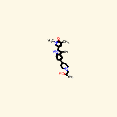 Cc1cc(-c2[nH]c3ccc(C4CCN(CC(O)C(C)(C)C)CC4)cc3c2C(C)C)cn(C)c1=O